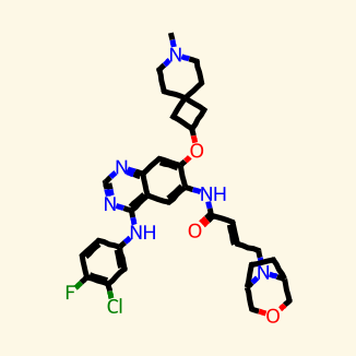 CN1CCC2(CC1)CC(Oc1cc3ncnc(Nc4ccc(F)c(Cl)c4)c3cc1NC(=O)/C=C/CN1C3CCC1COC3)C2